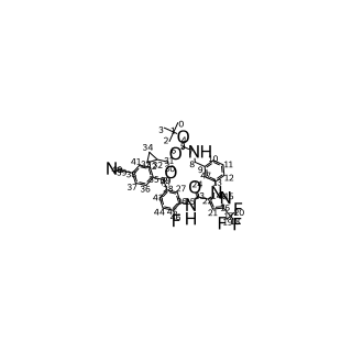 CC(C)(C)OC(=O)NCc1cccc(-n2nc(C(F)(F)F)cc2C(=O)Nc2cc([C@H](OCC3CC3)c3ccc(C#N)cc3)ccc2F)c1